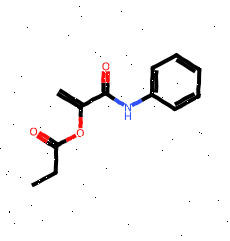 C=C(OC(=O)CC)C(=O)Nc1ccccc1